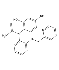 NC(=O)N(c1ccc([N+](=O)[O-])cc1O)c1ccccc1OCc1ccccn1